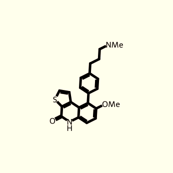 CNCCCc1ccc(-c2c(OC)ccc3[nH]c(=O)c4sccc4c23)cc1